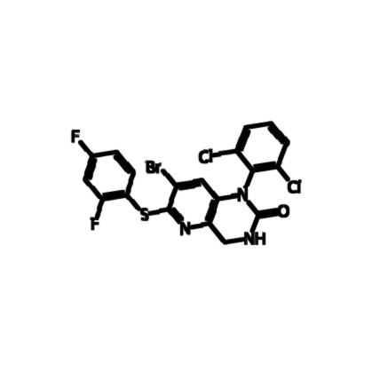 O=C1NCc2nc(Sc3ccc(F)cc3F)c(Br)cc2N1c1c(Cl)cccc1Cl